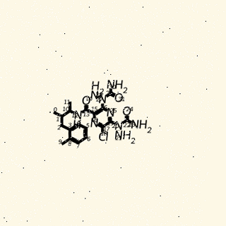 [CH2]C(Cc1ccccc1C)C(C)NC(=O)c1nc(Cl)c(N(N)C(N)=O)nc1N(N)C(N)=O